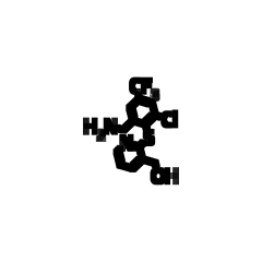 NCc1cc(C(F)(F)F)cc(Cl)c1Sc1ncccc1CO